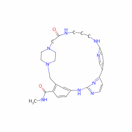 CNC(=O)c1ccc2cc1CN1CCN(CC1)CC(=O)NCCCNc1ccc(cn1)-c1ccnc(n1)N2